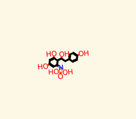 O=P(O)(O)N=C1C=C(O)C=C(O)C1C(O)Cc1ccc(O)cc1